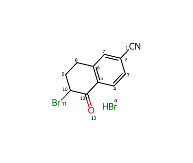 Br.N#Cc1ccc2c(c1)CCC(Br)C2=O